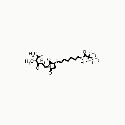 CC(C)[C@H](C)C(=O)CCN1C(=O)CC(SCCCCCCNC(=O)C(C)(C)C)C1=O